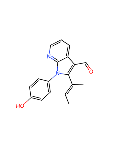 C/C=C(\C)c1c(C=O)c2cccnc2n1-c1ccc(O)cc1